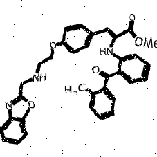 COC(=O)C(Cc1ccc(OCCNCc2nc3ccccc3o2)cc1)Nc1ccccc1C(=O)c1ccccc1C